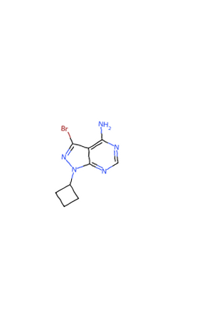 Nc1ncnc2c1c(Br)nn2C1CCC1